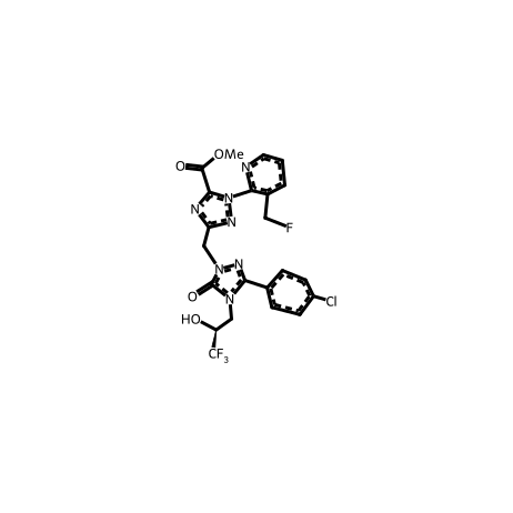 COC(=O)c1nc(Cn2nc(-c3ccc(Cl)cc3)n(C[C@H](O)C(F)(F)F)c2=O)nn1-c1ncccc1CF